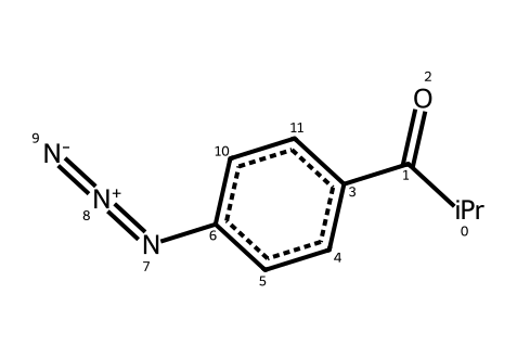 CC(C)C(=O)c1ccc(N=[N+]=[N-])cc1